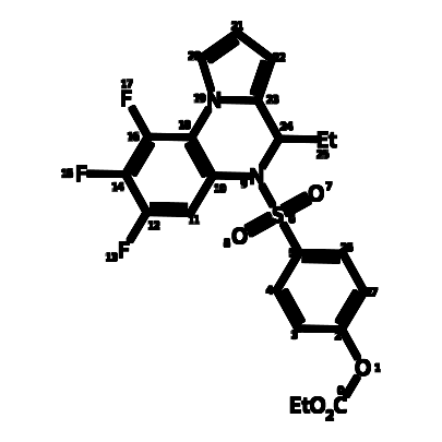 CCOC(=O)Oc1ccc(S(=O)(=O)N2c3cc(F)c(F)c(F)c3-n3cccc3C2CC)cc1